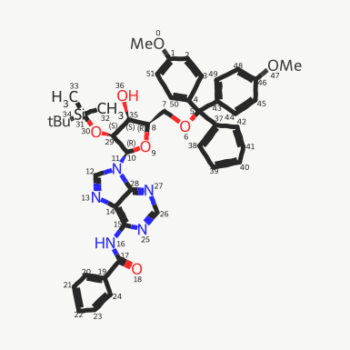 COc1ccc(C(OC[C@H]2O[C@@H](n3cnc4c(NC(=O)c5ccccc5)ncnc43)[C@@H](O[Si](C)(C)C(C)(C)C)[C@H]2O)(c2ccccc2)c2ccc(OC)cc2)cc1